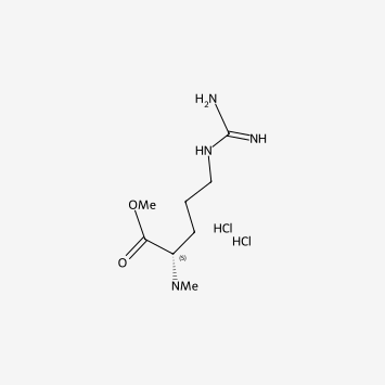 CN[C@@H](CCCNC(=N)N)C(=O)OC.Cl.Cl